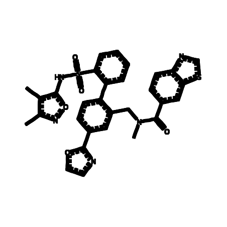 Cc1noc(NS(=O)(=O)c2ccccc2-c2ccc(-c3ncco3)cc2CN(C)C(=O)c2ccc3ncsc3c2)c1C